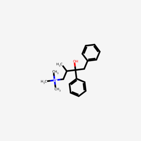 CC(C[N+](C)(C)C)C(O)(Cc1ccccc1)c1ccccc1